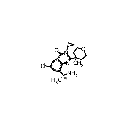 C[C@@H](N)c1cc(Cl)cc2c(=O)n(C3CC3)c(C3(C)CCOCC3)nc12